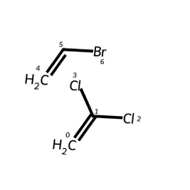 C=C(Cl)Cl.C=CBr